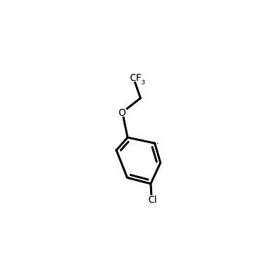 FC(F)(F)COc1[c]cc(Cl)cc1